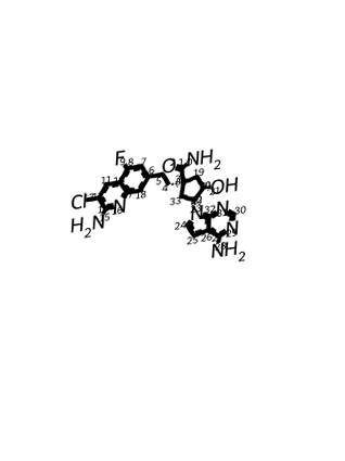 NC(=O)[C@@]1(CCc2cc(F)c3cc(Cl)c(N)nc3c2)C[C@@H](O)[C@H](n2ccc3c(N)ncnc32)C1